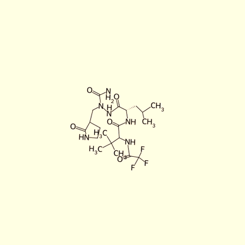 CC(C)C[C@H](NC(=O)C(NC(=O)C(F)(F)F)C(C)(C)C)C(=O)NN(CC1CCNC1=O)C(N)=O